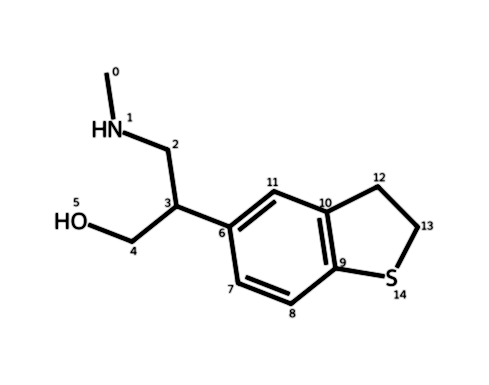 CNCC(CO)c1ccc2c(c1)CCS2